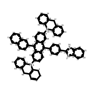 C1=CC2=C(CC1)N(c1ccc3c(-c4ccc(-c5nc6ccccc6s5)cc4)c4cc(N5c6ccccc6Cc6ccccc65)ccc4c(-c4ccc5ccccc5c4)c3c1)c1ccccc1C2